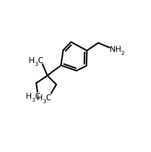 CCC(C)(CC)c1ccc(CN)cc1